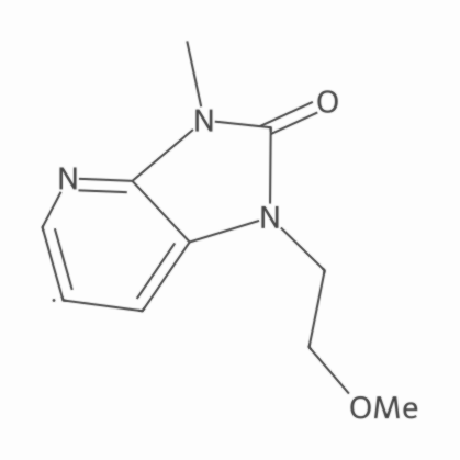 COCCn1c(=O)n(C)c2nc[c]cc21